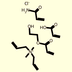 C=CC(=O)O.C=CC(=O)OCCO.C=CC(N)=O.C=CC[N+](C)(C)CC=C.[Cl-]